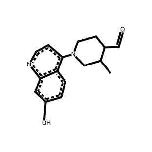 CC1CN(c2ccnc3cc(O)ccc23)CCC1C=O